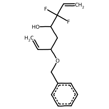 C=CC(CC(O)C(F)(F)C=C)OCc1ccccc1